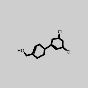 OCC1=CCC(C2=CC(Cl)CC(Cl)C2)CC1